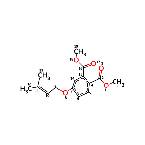 COC(=O)c1ccc(OCC=C(C)C)cc1C(=O)OC